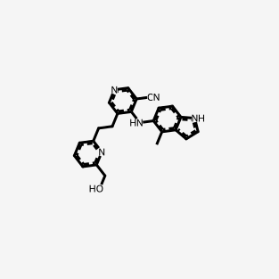 Cc1c(Nc2c(C#N)cncc2CCc2cccc(CO)n2)ccc2[nH]ccc12